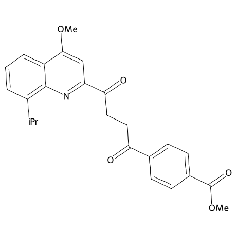 COC(=O)c1ccc(C(=O)CCC(=O)c2cc(OC)c3cccc(C(C)C)c3n2)cc1